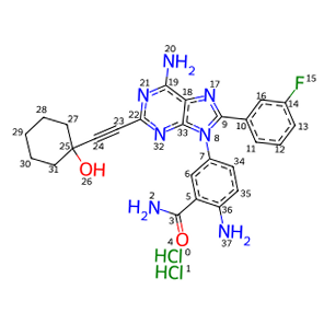 Cl.Cl.NC(=O)c1cc(-n2c(-c3cccc(F)c3)nc3c(N)nc(C#CC4(O)CCCCC4)nc32)ccc1N